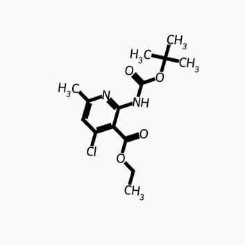 CCOC(=O)c1c(Cl)cc(C)nc1NC(=O)OC(C)(C)C